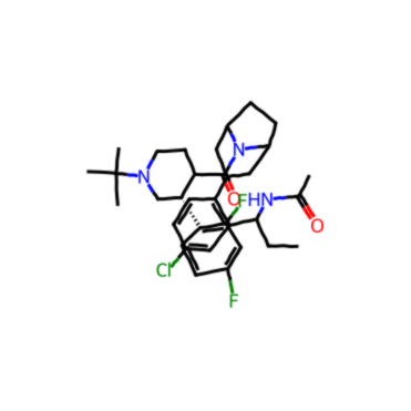 CCC(NC(C)=O)c1cc(Cl)ccc1C1CC2CCC(C1)N2C(=O)C1CCN(C(C)(C)C)C[C@H]1c1ccc(F)cc1F